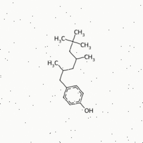 CC(Cc1ccc(O)cc1)CC(C)CC(C)(C)C